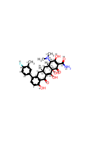 Cc1cc(-c2ccc(O)c3c2C[C@@H]2C[C@@H]4[C@@H](N(C)C)C(O)=C(C(N)=O)C(=O)[C@]4(O)C(O)=C2C3=O)ccc1F